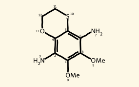 COc1c(N)c2c(c(N)c1OC)SCCO2